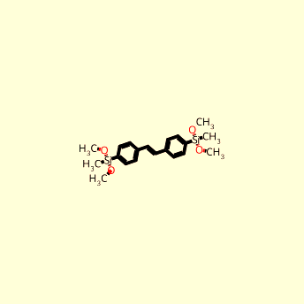 CO[Si](C)(OC)c1ccc(C=Cc2ccc([Si](C)(OC)OC)cc2)cc1